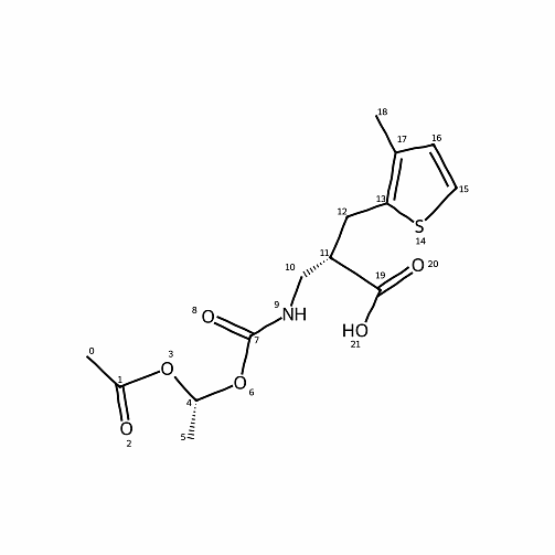 CC(=O)O[C@@H](C)OC(=O)NC[C@H](Cc1sccc1C)C(=O)O